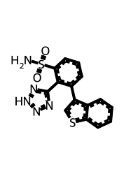 NS(=O)(=O)c1cccc(-c2csc3ccccc23)c1-c1nn[nH]n1